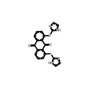 O=C1c2cccc(Sc3ncc[nH]3)c2C(=O)c2c(Sc3ncc[nH]3)cccc21